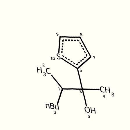 CCCC[C](C)C(C)(O)c1cccs1